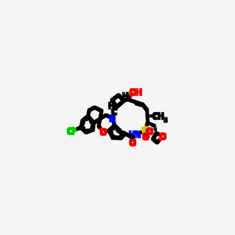 C[C@@H]1C/C=C/[C@H](O)[C@@H]2CC[C@H]2CN2C[C@@]3(CCCc4cc(Cl)ccc43)COc3ccc(cc32)C(=O)NS(=O)(=O)[C@@H]1C[C@H]1CCO1